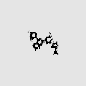 Cc1ccc2c(-c3ccc(F)cc3F)nc([C@@H]3C[C@@H](c4cnn(C5CC5)c4)O[C@@H](C)C3)nc2n1